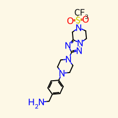 NCc1ccc(N2CCN(c3nc4n(n3)CCN(S(=O)(=O)C(F)(F)F)C4)CC2)cc1